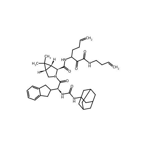 C=CCCNC(=O)C(=O)C(CCC=C)NC(=O)[C@@H]1[C@@H]2[C@H](CN1C(=O)[C@@H](NC(=O)NC13CC4CC(CC(C4)C1)C3)C1Cc3ccccc3C1)C2(C)C